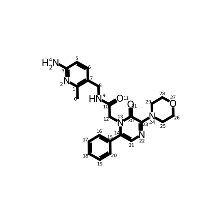 Cc1nc(N)ccc1CNC(=O)Cn1c(-c2ccccc2)cnc(N2CCOCC2)c1=O